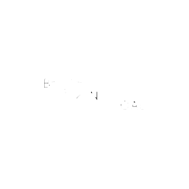 CC(=O)OC1CCN(c2ccc(Br)cc2)CC1